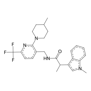 CC1CCN(c2nc(C(F)(F)F)ccc2CNC(=O)C(C)c2cn(C)c3ccccc23)CC1